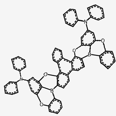 c1ccc(N(c2ccccc2)c2cc3c4c(c2)Oc2c(ccc5c6ccc7c(c6c6ccccc6c25)Oc2cc(N(c5ccccc5)c5ccccc5)cc5c2B7c2ccccc2O5)B4c2ccccc2O3)cc1